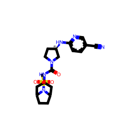 CS(=O)(=O)N1C2CCC1CC(NC(=O)N1CC[C@@H](Nc3ccc(C#N)cn3)C1)C2